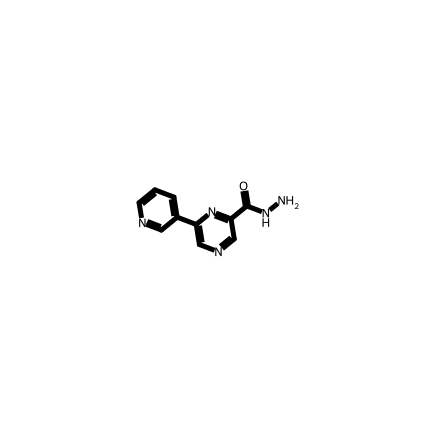 NNC(=O)c1cncc(-c2cccnc2)n1